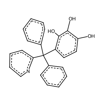 Oc1ccc(C(c2ccccc2)(c2ccccc2)c2ccccn2)c(O)c1O